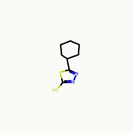 Sc1nnc(C2CCCCC2)s1